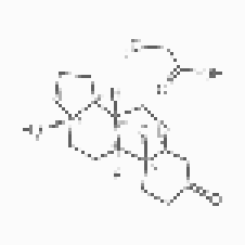 CCC(=O)O.C[C@@]12CCC[C@H]1[C@@H]1CCC3CC(=O)CC[C@]3(C)[C@H]1CC2